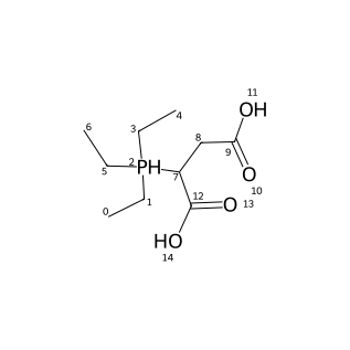 CC[PH](CC)(CC)C(CC(=O)O)C(=O)O